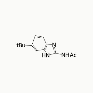 CC(=O)Nc1nc2ccc(C(C)(C)C)cc2[nH]1